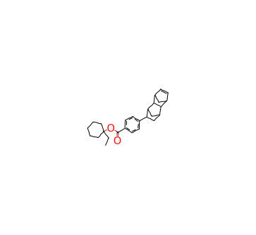 CCC1(OC(=O)c2ccc(C3CC4CC3C3C5C=CC(C5)C43)cc2)CCCCC1